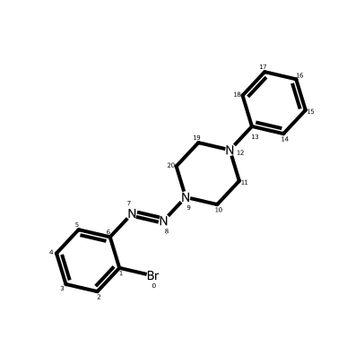 Brc1ccccc1N=NN1CCN(c2ccccc2)CC1